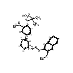 CCOc1cc2ccccc2cc1CCNc1cc(-c2ccc(OC(C)(C)C(=O)O)c(OCC)c2)ncn1